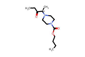 CCCCOC(=O)N1CCN([C@H](C)C(=O)CC)CC1